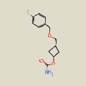 NC(=O)O[C@H]1C[C@@H](COCc2ccc(F)cc2)C1